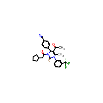 CC(=O)C1=C(C)N(c2cccc(C(F)(F)F)c2)C(=S)N(C(=O)CC2CCCC2)C1c1ccc(C#N)cc1